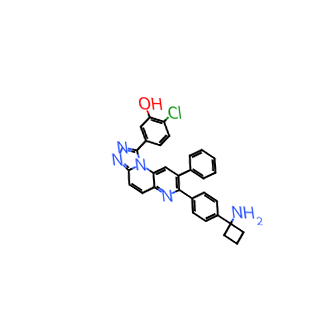 NC1(c2ccc(-c3nc4ccc5nnc(-c6ccc(Cl)c(O)c6)n5c4cc3-c3ccccc3)cc2)CCC1